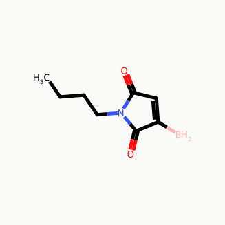 BC1=CC(=O)N(CCCC)C1=O